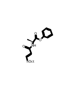 CCCCCCCCC=CC(=O)N[C@@H](C)C(=O)Oc1ccccc1